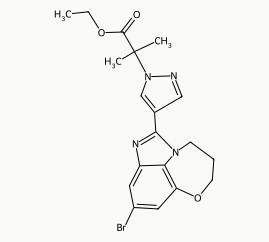 CCOC(=O)C(C)(C)n1cc(-c2nc3cc(Br)cc4c3n2CCCO4)cn1